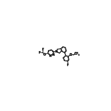 Fc1ccc(-c2cccc3c2CN(c2ccc(OC(F)F)nn2)C3)c(OCC(F)(F)F)c1